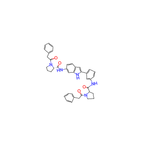 O=C(Nc1cccc(-c2cc3ccc(NC(=O)[C@@H]4CCCN4C(=O)Cc4ccccc4)cc3[nH]2)c1)C1CCCN1C(=O)Cc1ccccc1